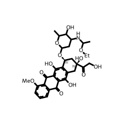 CCOC(C)NC1CC(O[C@H]2C[C@](O)(C(=O)CO)Cc3c(O)c4c(c(O)c32)C(=O)c2c(OC)cccc2C4=O)OC(C)C1O